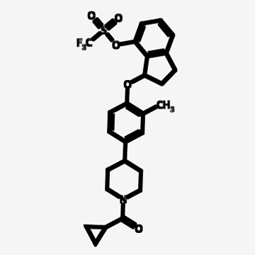 Cc1cc(C2CCN(C(=O)C3CC3)CC2)ccc1OC1CCc2cccc(OS(=O)(=O)C(F)(F)F)c21